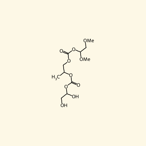 COCC(OC)OC(=O)OCC(C)OC(=O)OC(O)CO